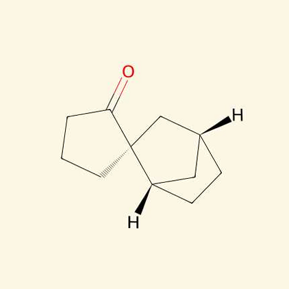 O=C1CCC[C@@]12C[C@@H]1CC[C@H]2C1